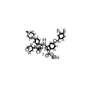 CN1CCN(c2ccc(C(=O)Nc3nn(C(=O)OC(C)(C)C)c4ccc(OCc5ccc(F)c(F)c5)cc34)c(N(C(=O)C(F)(F)F)C3CCOCC3)c2)CC1